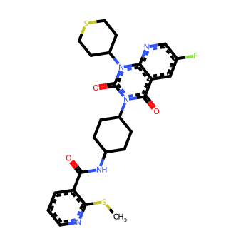 CSc1ncccc1C(=O)NC1CCC(n2c(=O)c3cc(F)cnc3n(C3CCSCC3)c2=O)CC1